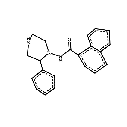 O=C(NN1CCNCC1c1ccccc1)c1cccc2ccccc12